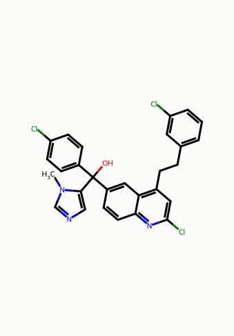 Cn1cncc1C(O)(c1ccc(Cl)cc1)c1ccc2nc(Cl)cc(CCc3cccc(Cl)c3)c2c1